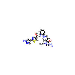 CN(C)C1(C(N)=O)CCN(c2ccccc2NC(=O)c2csc(-c3cn[nH]c3)n2)CC1